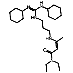 CCN(CC)C(=O)/C=C(/C)NCCCN/C(=N\C1CCCCC1)NC1CCCCC1